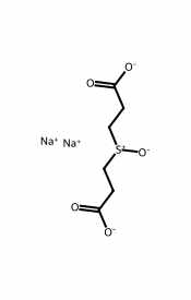 O=C([O-])CC[S+]([O-])CCC(=O)[O-].[Na+].[Na+]